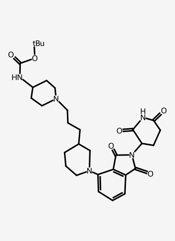 CC(C)(C)OC(=O)NC1CCN(CCCC2CCCN(c3cccc4c3C(=O)N(C3CCC(=O)NC3=O)C4=O)C2)CC1